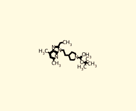 CCc1nc2c(C)cc(C)nc2n1CCC1CCN(C(=O)OC(C)(C)C)CC1